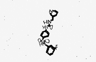 O=C(NCc1cccnc1)Nc1ccc(S(=O)(=O)Nc2cccc(F)c2)cc1